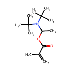 C=C(C)C(=O)OC(C)N(C(C)(C)C)C(C)(C)C